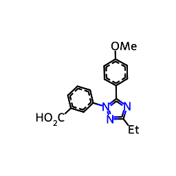 CCc1nc(-c2ccc(OC)cc2)n(-c2cccc(C(=O)O)c2)n1